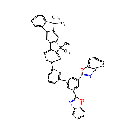 CC1(C)c2ccccc2-c2cc3c(cc21)C(C)(C)c1cc(-c2cccc(-c4cc(-c5nc6ccccc6o5)cc(-c5nc6ccccc6o5)c4)c2)ccc1-3